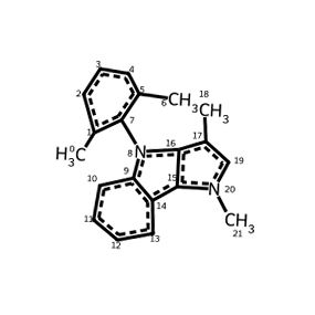 Cc1cccc(C)c1-n1c2ccccc2c2c1c(C)cn2C